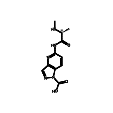 CN[C@H](C)C(=O)Nc1ccc2c(cnn2C(=O)O)n1